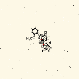 COc1ccccc1OCC(=O)N[C@H]1C[C@H]2CC[C@@H](C1)N2Cc1ccc(Cl)cc1